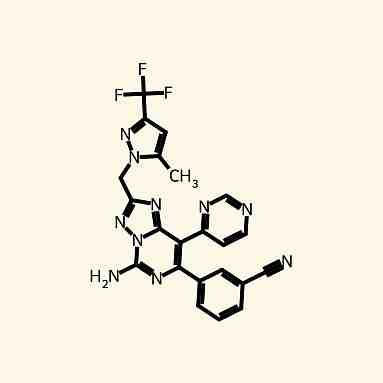 Cc1cc(C(F)(F)F)nn1Cc1nc2c(-c3ccncn3)c(-c3cccc(C#N)c3)nc(N)n2n1